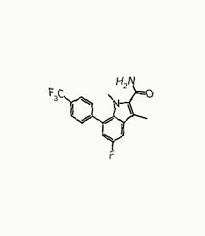 Cc1c(C(N)=O)n(C)c2c(-c3ccc(C(F)(F)F)cc3)cc(F)cc12